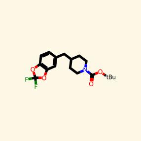 CC(C)(C)OC(=O)N1CCC(Cc2ccc3c(c2)OC(F)(F)O3)CC1